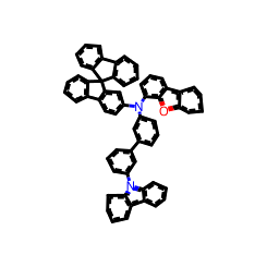 c1cc(-c2cccc(-n3c4ccccc4c4ccccc43)c2)cc(N(c2ccc3c(c2)C2(c4ccccc4-c4ccccc42)c2ccccc2-3)c2cccc3c2oc2ccccc23)c1